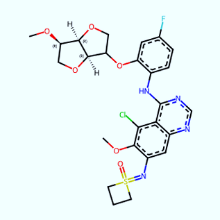 COc1c(N=S2(=O)CCC2)cc2ncnc(Nc3ccc(F)cc3OC3CO[C@H]4[C@@H]3OC[C@H]4OC)c2c1Cl